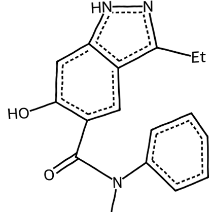 CCc1n[nH]c2cc(O)c(C(=O)N(C)c3ccccc3)cc12